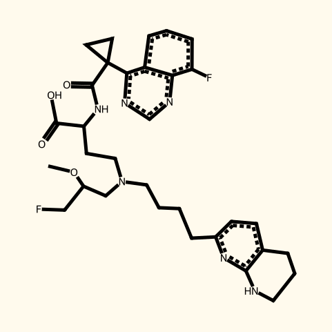 COC(CF)CN(CCCCc1ccc2c(n1)NCCC2)CCC(NC(=O)C1(c2ncnc3c(F)cccc23)CC1)C(=O)O